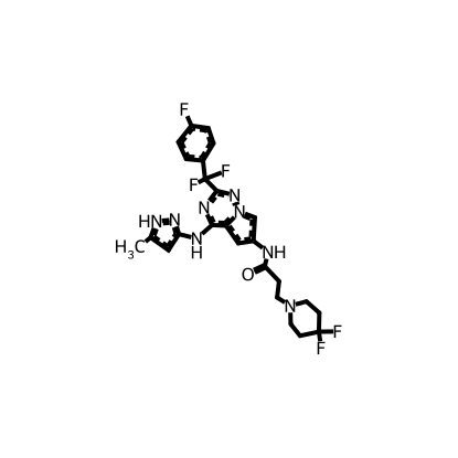 Cc1cc(Nc2nc(C(F)(F)c3ccc(F)cc3)nn3cc(NC(=O)CCN4CCC(F)(F)CC4)cc23)n[nH]1